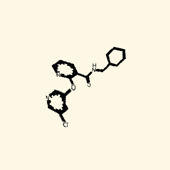 O=C(NCC1CCCCC1)c1cccnc1Oc1cncc(Cl)c1